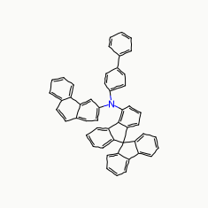 c1ccc(-c2ccc(N(c3ccc4ccc5ccccc5c4c3)c3cccc4c3-c3ccccc3C43c4ccccc4-c4ccccc43)cc2)cc1